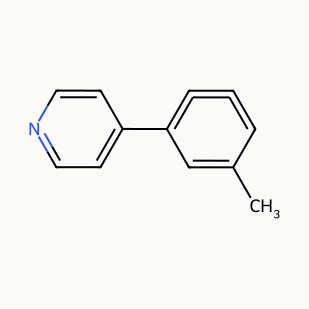 CC1=CC(c2ccncc2)=C=C=C1